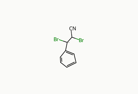 N#CC(Br)[C](Br)c1ccccc1